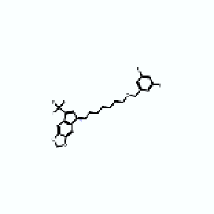 Fc1cc(F)cc(COCCCCCC/C=C2\C=C(C(F)(F)F)c3cc4c(cc32)OCO4)c1